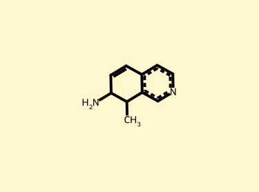 CC1c2cnccc2C=CC1N